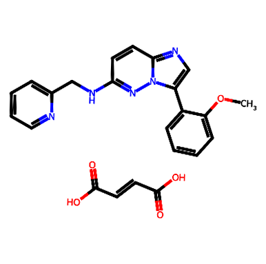 COc1ccccc1-c1cnc2ccc(NCc3ccccn3)nn12.O=C(O)C=CC(=O)O